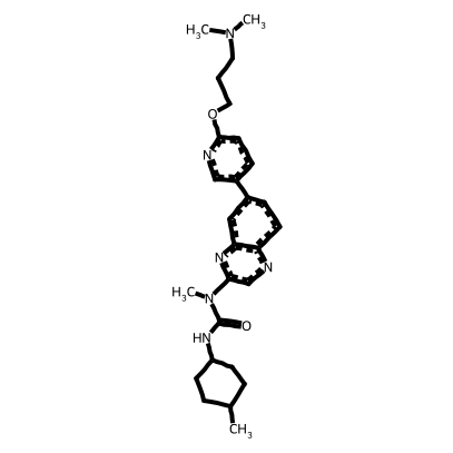 CC1CCC(NC(=O)N(C)c2cnc3ccc(-c4ccc(OCCCN(C)C)nc4)cc3n2)CC1